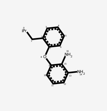 CC(C)Cc1ccccc1Oc1cccc(N)c1N